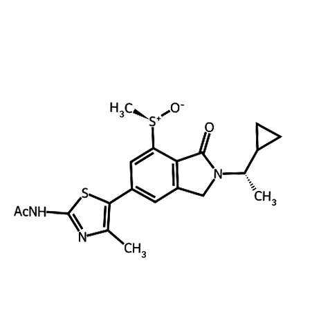 CC(=O)Nc1nc(C)c(-c2cc3c(c([S@@+](C)[O-])c2)C(=O)N([C@@H](C)C2CC2)C3)s1